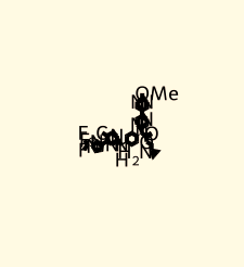 COc1ncc(-c2cnc(N(C(=O)OCC3(N)CC3)[C@H]3CC[C@H](Nc4ncc(C(F)(F)F)c(-c5ccn(C(F)F)n5)n4)CC3)cn2)cn1